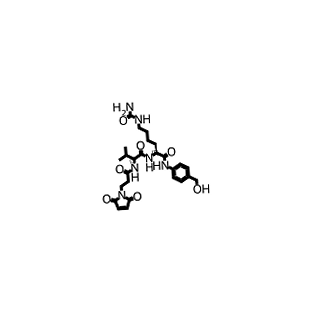 CC(C)[C@H](NC(=O)CCN1C(=O)C=CC1=O)C(=O)N[C@@H](CCCCNC(N)=O)C(=O)Nc1ccc(CO)cc1